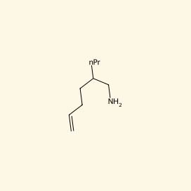 C=CCCC(CN)CCC